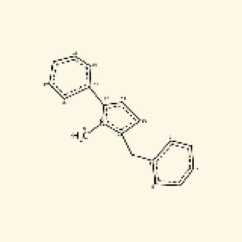 [CH2]n1c(Cc2ccccc2)ccc1-c1ccccc1